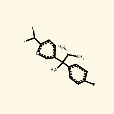 C[C@H](N)C(N)(c1ccc(F)cc1)c1ccc(C(F)F)nc1